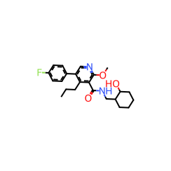 CCCc1c(-c2ccc(F)cc2)cnc(OC)c1C(=O)NCC1CCCCC1O